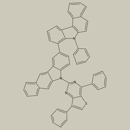 c1ccc(-c2csc3c(-c4ccccc4)nc(-n4c5ccc(-c6cccc7c8c9ccccc9ccc8n(-c8ccccc8)c67)cc5c5cc6ccccc6cc54)nc23)cc1